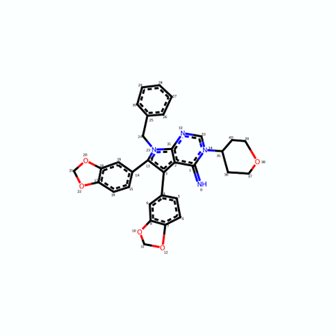 N=c1c2c(-c3ccc4c(c3)OCO4)c(-c3ccc4c(c3)OCO4)n(Cc3ccccc3)c2ncn1C1CCOCC1